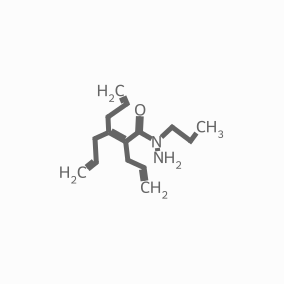 C=CCC(CC=C)=C(CC=C)C(=O)N(N)CCC